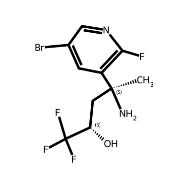 C[C@](N)(C[C@H](O)C(F)(F)F)c1cc(Br)cnc1F